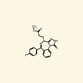 COC(=O)CC[C@@H]1N=C(c2ccc(F)cc2)c2ccccc2-n2c1n[nH]c2=S